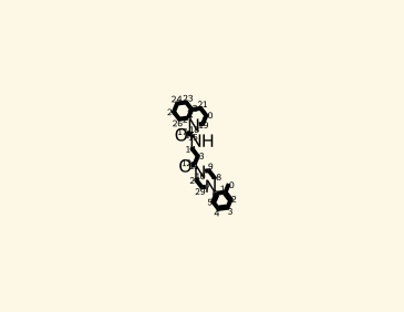 Cc1ccccc1N1CCN(C(=O)CCNC(=O)N2CCCC3CCCCC32)CC1